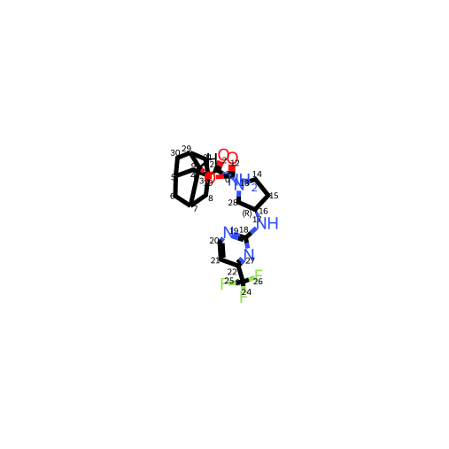 NC(=O)[C@]12CC3CC(C1)[C@@H](OC(=O)N1CC[C@@H](Nc4nccc(C(F)(F)F)n4)C1)C(C3)C2